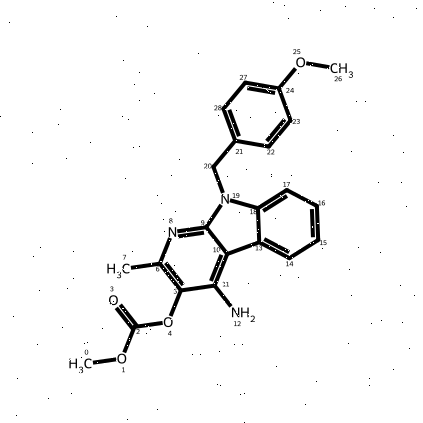 COC(=O)Oc1c(C)nc2c(c1N)c1ccccc1n2Cc1ccc(OC)cc1